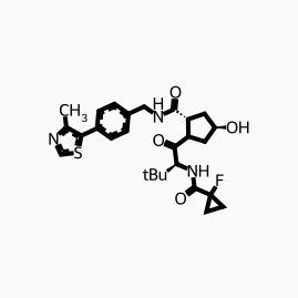 Cc1ncsc1-c1ccc(CNC(=O)[C@@H]2C[C@@H](O)CC2C(=O)[C@@H](NC(=O)C2(F)CC2)C(C)(C)C)cc1